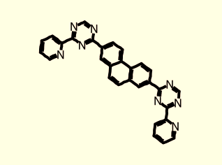 c1ccc(-c2ncnc(-c3ccc4c(ccc5cc(-c6ncnc(-c7ccccn7)n6)ccc54)c3)n2)nc1